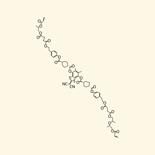 C=CC(=O)OCC(C)OC(C)COC(=O)CCC(=O)OCCc1ccc(OC(=O)[C@H]2CC[C@H](C(=O)Oc3c(C)c(C)c(OC(=O)[C@H]4CC[C@H](C(=O)Oc5ccc(CCOC(=O)CCC(=O)OCC(C)OC(=O)C=C)cc5)CC4)c4c3SC(=C(C#N)C#N)S4)CC2)cc1